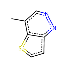 Cc1cnnc2ccsc12